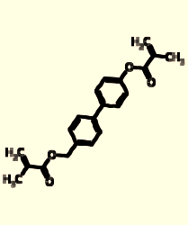 C=C(C)C(=O)OCc1ccc(-c2ccc(OC(=O)C(=C)C)cc2)cc1